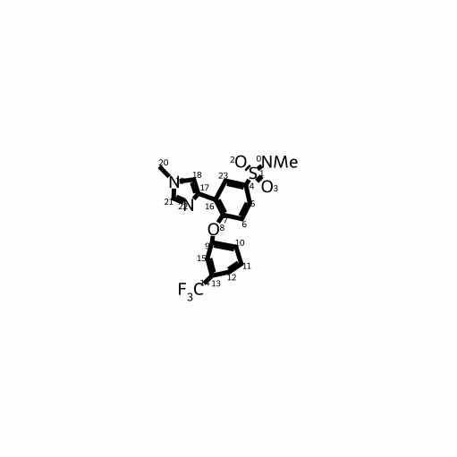 CNS(=O)(=O)c1ccc(Oc2cccc(C(F)(F)F)c2)c(-c2cn(C)cn2)c1